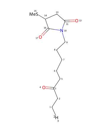 [2H]CCC(=O)CCCCCN1C(=O)CC(SC)C1=O